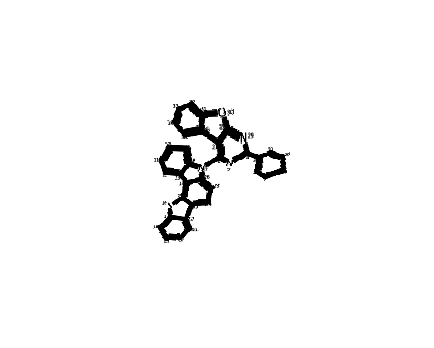 c1ccc(-c2nc(-n3c4ccccc4c4c5sc6ccccc6c5ccc43)c3c(n2)oc2ccccc23)cc1